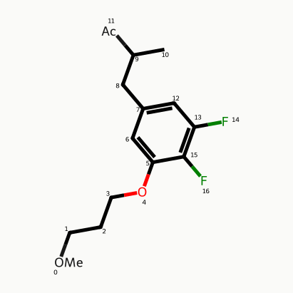 COCCCOc1cc(CC(C)C(C)=O)cc(F)c1F